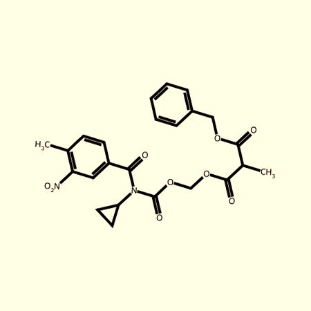 Cc1ccc(C(=O)N(C(=O)OCOC(=O)C(C)C(=O)OCc2ccccc2)C2CC2)cc1[N+](=O)[O-]